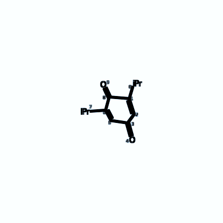 CC(C)C1=CC(=O)C=C(C(C)C)C1=O